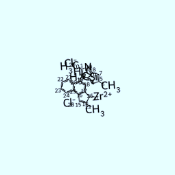 CC1=CC2=C3C(C)=C(C2=N1)[Si]3(C)C.CC1=Cc2c(ccc3ccccc23)[CH]1[Zr+2].[Cl-].[Cl-]